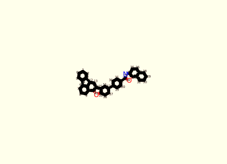 c1ccc2c(c1)-c1cccc3c1c-2cc1c2cc(-c4ccc(-c5nc6ccc7ccccc7c6o5)cc4)ccc2oc31